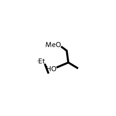 COCC(C)O.C[CH]C